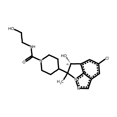 CC1(C2CCN(C(=O)NCCO)CC2)[C@H](O)c2cc(Cl)cc3cnn1c23